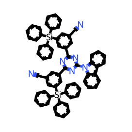 N#Cc1cc(-c2nc(-c3cc(C#N)cc([Si](c4ccccc4)(c4ccccc4)c4ccccc4)c3)nc(-n3c4ccccc4c4ccccc43)n2)cc([Si](c2ccccc2)(c2ccccc2)c2ccccc2)c1